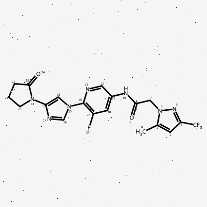 Cc1cc(C(F)(F)F)nn1CC(=O)Nc1cnc(-n2cnc(N3CCCC3=O)c2)c(F)c1